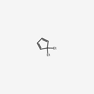 CCC1(CC)C=CC=C1